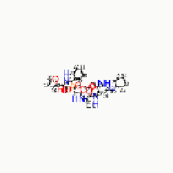 CC[C@H](NC(=O)CP(=O)(O)C(NC(=O)c1ccco1)c1ccccc1)C(=O)N[C@@H](C/C=C/c1ccccc1)C(N)=O